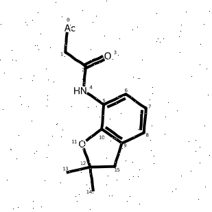 CC(=O)CC(=O)Nc1cccc2c1OC(C)(C)C2